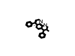 CC1C=NC2=C3N=CC=C(c4ccccc4)[C@]3(C)CC=C2C1c1ccccc1